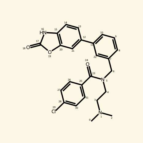 CN(C)CCN(Cc1cccc(-c2ccc3[nH]c(=O)oc3c2)c1)C(=O)c1ccc(Cl)cc1